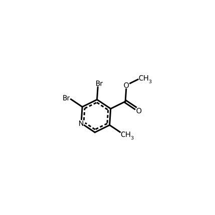 COC(=O)c1c(C)cnc(Br)c1Br